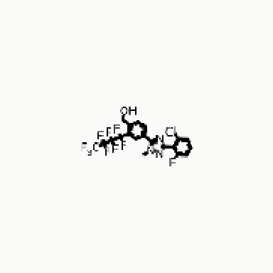 Cn1nc(-c2c(F)cccc2Cl)nc1-c1ccc(CO)c(C(F)(F)C(F)(F)C(F)(F)C(F)(F)F)c1